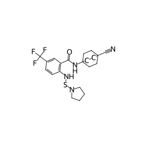 N#CC12CCC(NC(=O)c3cc(C(F)(F)F)ccc3NSN3CCCC3)(CC1)CC2